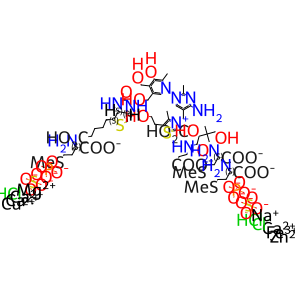 CC(=O)O.CC(C)(CO)C(O)C(=O)NCCC(=O)[O-].CSCC[C@H](N)C(=O)[O-].CSCC[C@H](N)C(=O)[O-].CSCC[C@H](N)C(=O)[O-].Cc1ncc(CO)c(CO)c1O.Cc1ncc(C[n+]2csc(CCO)c2C)c(N)n1.Cl.Cl.O=C(O)CCCC[C@@H]1SC[C@@H]2NC(=O)N[C@@H]21.O=P([O-])([O-])[O-].O=P([O-])([O-])[O-].O=S(=O)([O-])[O-].O=S(=O)([O-])[O-].[Ca+2].[Ca+2].[Ca+2].[Cl-].[Cu+2].[Fe+3].[Mg+2].[Na+].[Zn+2]